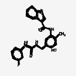 Cc1ccc(CNC(=O)Nc2cccc(F)c2)cc1NC(=O)c1cnc2ccccn12.Cl